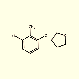 C1CCOC1.Cc1c(Cl)cccc1Cl